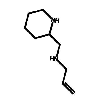 C=CCNCC1CCCCN1